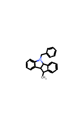 CC1c2ccccc2C2C1c1ccccc1N2Cc1ccccc1